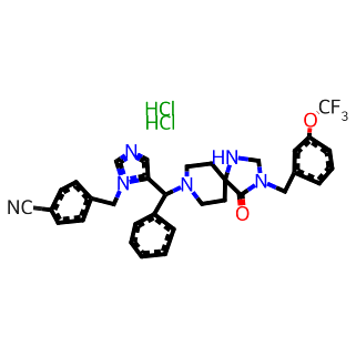 Cl.Cl.N#Cc1ccc(Cn2cncc2C(c2ccccc2)N2CCC3(CC2)NCN(Cc2cccc(OC(F)(F)F)c2)C3=O)cc1